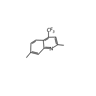 Cc1ccc2c(C(F)(F)F)cc(C)nc2c1